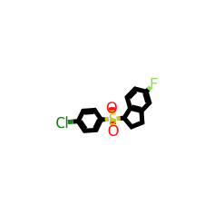 O=S(=O)(c1ccc(Cl)cc1)C1CCc2cc(F)ccc21